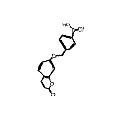 O=c1ccc2ccc(OCc3ccc(B(O)O)cc3)cc2o1